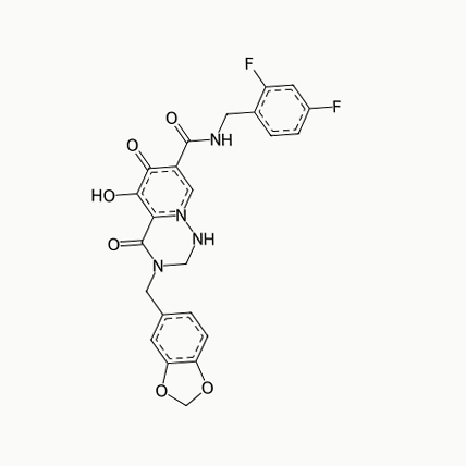 O=C(NCc1ccc(F)cc1F)c1cn2c(c(O)c1=O)C(=O)N(Cc1ccc3c(c1)OCO3)CN2